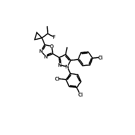 Cc1c(-c2nnc(C3(C(C)F)CC3)o2)nn(-c2ccc(Cl)cc2Cl)c1-c1ccc(Cl)cc1